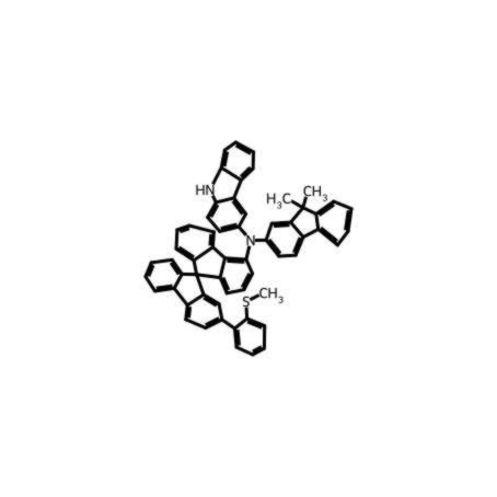 CSc1ccccc1-c1ccc2c(c1)C1(c3ccccc3-2)c2ccccc2-c2c(N(c3ccc4c(c3)C(C)(C)c3ccccc3-4)c3ccc4[nH]c5ccccc5c4c3)cccc21